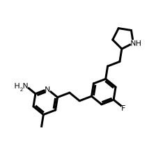 Cc1cc(N)nc(CCc2cc(F)cc(CCC3CCCN3)c2)c1